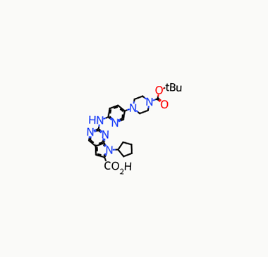 CC(C)(C)OC(=O)N1CCN(c2ccc(Nc3ncc4cc(C(=O)O)n(C5CCCC5)c4n3)nc2)CC1